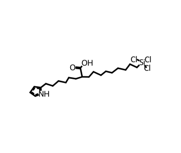 O=C(O)C(CCCCCCCCC[Si](Cl)(Cl)Cl)CCCCCCc1ccc[nH]1